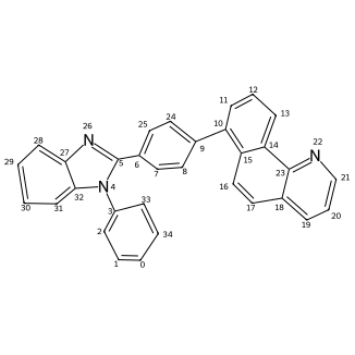 c1ccc(-n2c(-c3ccc(-c4cccc5c4ccc4cccnc45)cc3)nc3ccccc32)cc1